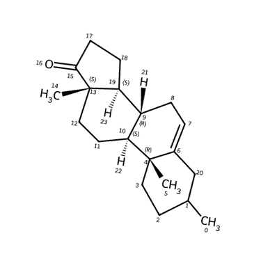 CC1CC[C@@]2(C)C(=CC[C@@H]3[C@@H]2CC[C@]2(C)C(=O)CC[C@@H]32)C1